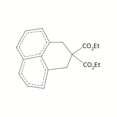 CCOC(=O)C1(C(=O)OCC)Cc2cccc3cccc(c23)C1